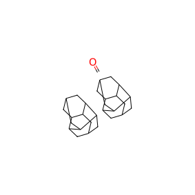 C1C2CC3C4CC5CC(C14)C(C2)C3C5.C1C2CC3C4CC5CC(C14)C(C2)C3C5.C=O